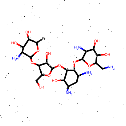 CCC1OC(OC2C(CO)OC(OC3C(O)C(N)CC(N)C3OC3OC(CN)C(O)C(O)C3N)C2O)C(N)C(O)C1O